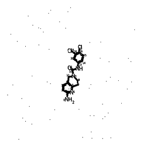 Nc1ccc2c(n1)CCN(C(=O)Nc1ccc(Cl)c(Cl)c1)C2